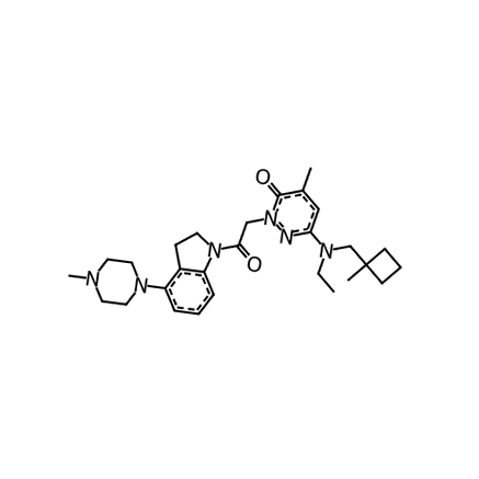 CCN(CC1(C)CCC1)c1cc(C)c(=O)n(CC(=O)N2CCc3c(N4CCN(C)CC4)cccc32)n1